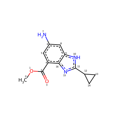 COC(=O)c1cc(N)cc2[nH]c(C3CC3)nc12